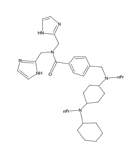 CCCN(Cc1ccc(C(=O)N(Cc2ncc[nH]2)Cc2ncc[nH]2)cc1)C1CCC(N(CCC)C2CCCCC2)CC1